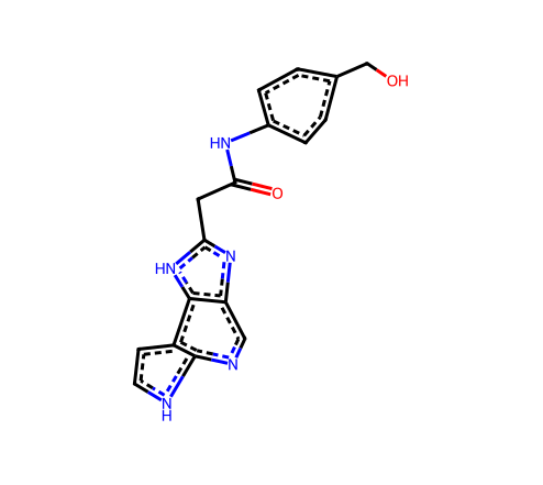 O=C(Cc1nc2cnc3[nH]ccc3c2[nH]1)Nc1ccc(CO)cc1